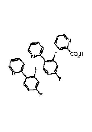 Fc1ccc(-c2ccccn2)c(F)c1.Fc1ccc(-c2ccccn2)c(F)c1.O=C(O)c1ccccn1